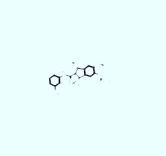 CC[C@@H]1c2cc(OC)c(OC)cc2C2NN=C(Nc3cccc(Br)c3)C21